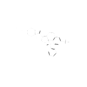 CN1CC2N(C(=O)[C@]3(F)CC[C@@H](C(=O)O)CC3)CCC2(S(=O)(=O)c2cccc(F)c2)c2ccc(C(F)(C(F)(F)F)C(F)(F)F)cc21